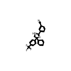 N#Cc1cccc(C2=NC(c3ccccc3)(c3ccc(C(F)(F)F)cc3)CN2)c1